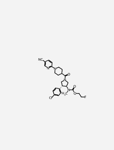 CN(C(=O)OCCF)[C@@H]1CN(C(=O)C2CCN(c3ccc(C#N)cn3)CC2)C[C@H]1c1ccc(Cl)cc1